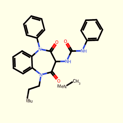 CC(C)(C)CCN1C(=O)C(NC(=O)Nc2ccccc2)C(=O)N(c2ccccc2)c2ccccc21.CNC